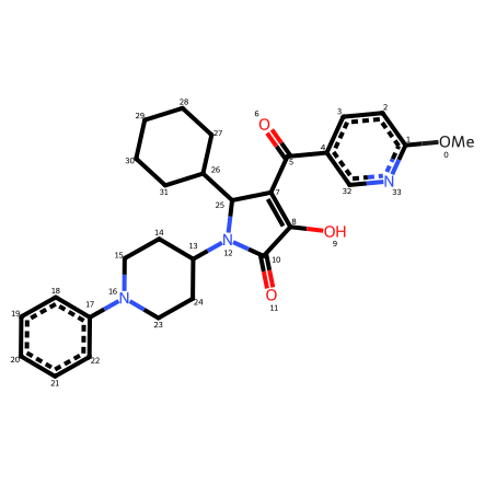 COc1ccc(C(=O)C2=C(O)C(=O)N(C3CCN(c4ccccc4)CC3)C2C2CCCCC2)cn1